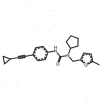 Cc1ccc(CN(C(=O)Nc2ccc(C#CC3CC3)cc2)C2CCCC2)o1